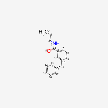 CCCNC(=O)c1cccc(Cc2ccccc2)c1